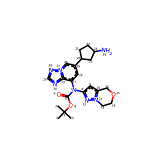 CC(C)(C)OC(=O)N(c1cc2n(n1)CCOC2)c1cc(C2CCC(N)C2)cn2ncnc12